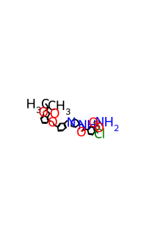 CC(C)=C1Oc2cccc(OCc3cccc(CN4CCC(NC(=O)c5ccc(Cl)c(S(N)(=O)=O)c5)CC4)c3)c2C1=O